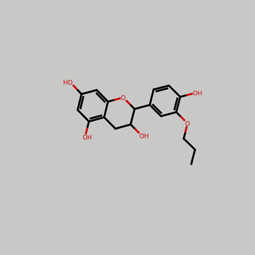 CCCOc1cc(C2Oc3cc(O)cc(O)c3CC2O)ccc1O